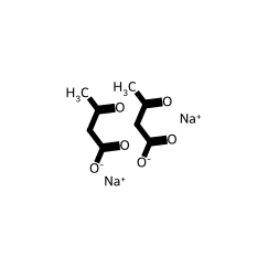 CC(=O)CC(=O)[O-].CC(=O)CC(=O)[O-].[Na+].[Na+]